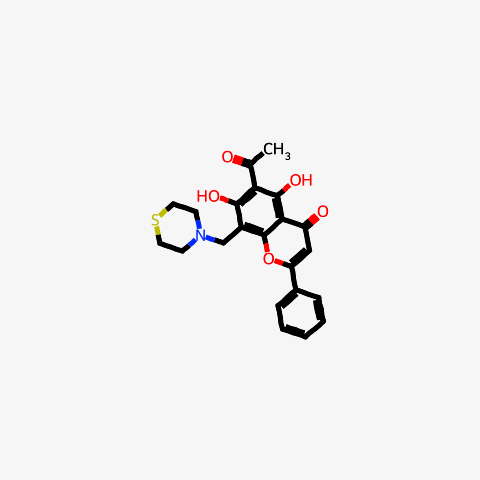 CC(=O)c1c(O)c(CN2CCSCC2)c2oc(-c3ccccc3)cc(=O)c2c1O